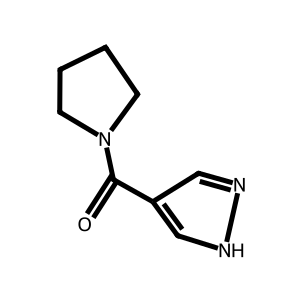 O=C(c1cn[nH]c1)N1CCCC1